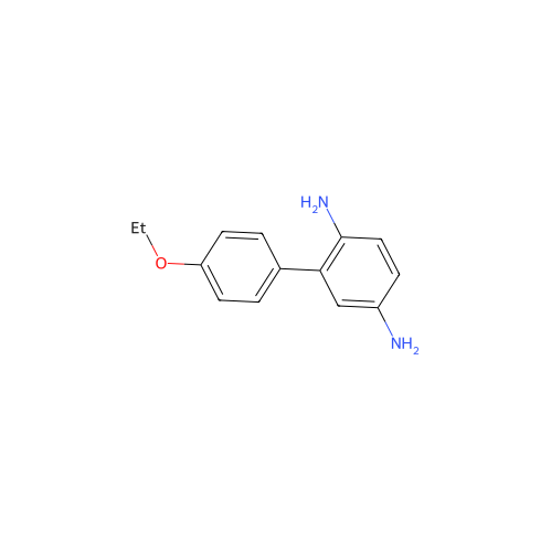 CCOc1ccc(-c2cc(N)ccc2N)cc1